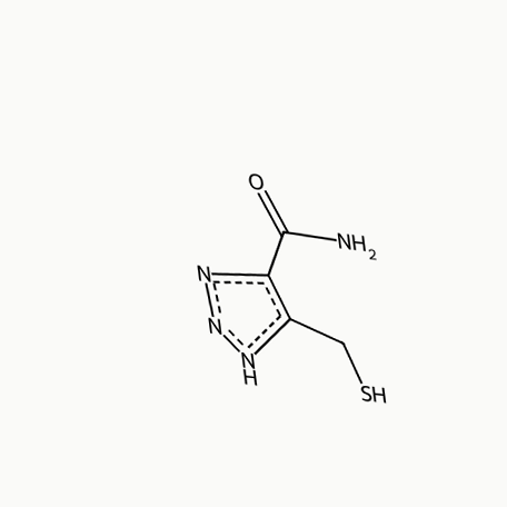 NC(=O)c1nn[nH]c1CS